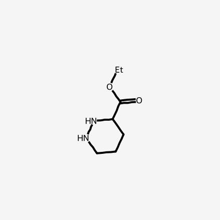 CCOC(=O)C1CCCNN1